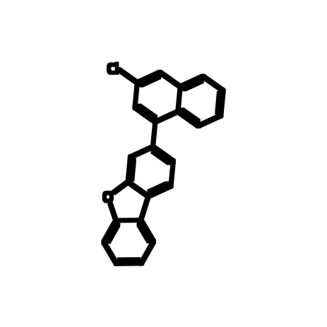 Clc1cc(-c2ccc3c(c2)oc2ccccc23)c2ccccc2c1